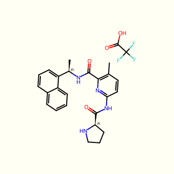 Cc1ccc(NC(=O)[C@H]2CCCN2)nc1C(=O)N[C@H](C)c1cccc2ccccc12.O=C(O)C(F)(F)F